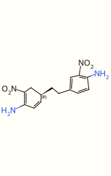 NC1=C([N+](=O)[O-])C[C@@H](CCc2ccc(N)c([N+](=O)[O-])c2)C=C1